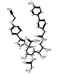 C#CCOc1ccc(-c2cn([C@]3(C(=O)OC)C[C@H](OC(C)=O)[C@@H](NC(=O)COC(C)=O)[C@H]([C@H](OC(C)=O)[C@@H](CNC(=O)Cc4ccc(-c5ccc(OC(C)=O)cc5)cc4)OC(C)=O)O3)nn2)cc1